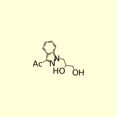 CC(=O)c1nn(CC(O)CO)c2ccccc12